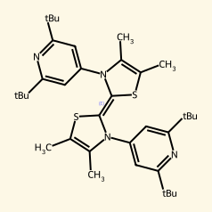 CC1=C(C)N(c2cc(C(C)(C)C)nc(C(C)(C)C)c2)/C(=C2\SC(C)=C(C)N2c2cc(C(C)(C)C)nc(C(C)(C)C)c2)S1